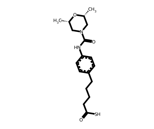 C[C@@H]1CN(C(=O)Nc2ccc(CCCCC(=O)S)cc2)C[C@H](C)O1